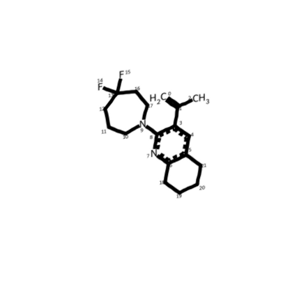 C=C(C)c1cc2c(nc1N1CCCC(F)(F)CC1)CCCC2